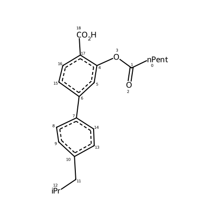 CCCCCC(=O)Oc1cc(-c2ccc(CC(C)C)cc2)ccc1C(=O)O